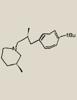 C[C@H]1CCCN(C[C@@H](C)Cc2ccc(C(C)(C)C)cc2)C1